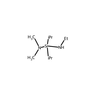 CCN[Si](C(C)C)(C(C)C)N(C)C